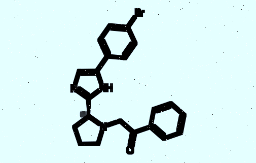 O=C(CN1CCC[C@H]1c1ncc(-c2ccc(Br)cc2)[nH]1)c1ccccc1